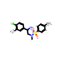 CN(CC(N)c1ccc(Cl)c(C(F)(F)F)c1)S(=O)(=O)c1ccc([N+](=O)[O-])cc1